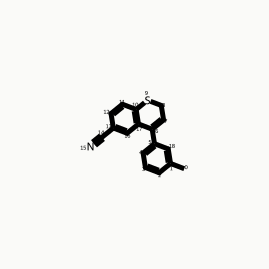 Cc1cccc(C2=CCSc3ccc(C#N)cc32)c1